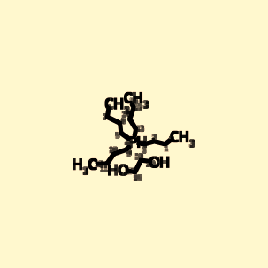 CCCC[PH](CCCC)(CCCC)CCCC.OCCO